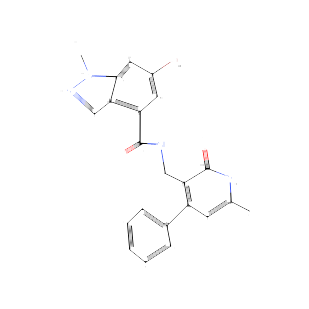 Cc1cc(-c2ccccc2)c(CNC(=O)c2cc(Br)cc3c2cnn3C(C)C)c(=O)[nH]1